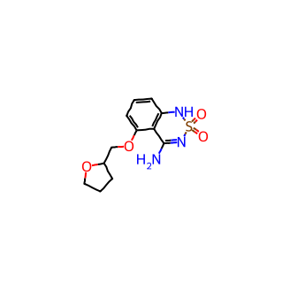 NC1=NS(=O)(=O)Nc2cccc(OCC3CCCO3)c21